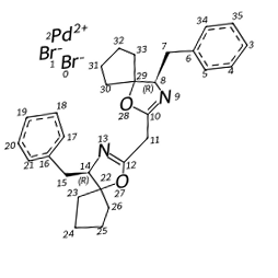 [Br-].[Br-].[Pd+2].c1ccc(C[C@H]2N=C(CC3=N[C@H](Cc4ccccc4)C4(CCCC4)O3)OC23CCCC3)cc1